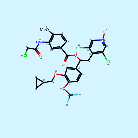 COc1ccc(C(=O)OC(Cc2c(Cl)c[n+]([O-])cc2Cl)c2ccc(OC(F)F)c(OCC3CC3)c2)cc1NC(=O)CCl